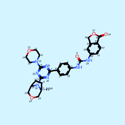 O=C(Nc1ccc(-c2nc(N3CCOCC3)nc(N3C4CC[C@H]3COC4)n2)cc1)Nc1ccc2c(c1)COC2=O